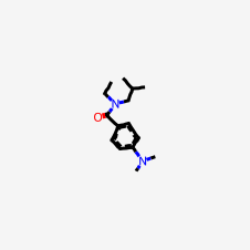 CCN(CC(C)C)C(=O)c1ccc(N(C)C)cc1